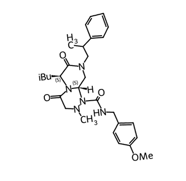 CCC(C)[C@H]1C(=O)N(CC(C)c2ccccc2)C[C@H]2N1C(=O)CN(C)N2C(=O)NCc1ccc(OC)cc1